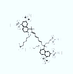 COCC[N+]1=C(/C=C/C=C/C=C2N(CCCCCC(=O)O)c3ccc4c(S(=O)(=O)O)cc(S(=O)(=O)O)cc4c3C2(C)C)C(C)(CCCS(=O)(=O)O)c2c1ccc1c(S(=O)(=O)[O-])cc(S(=O)(=O)O)cc21